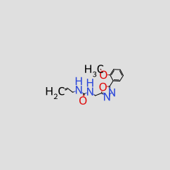 C=CCNC(=O)NCc1nnc(-c2ccccc2OC)o1